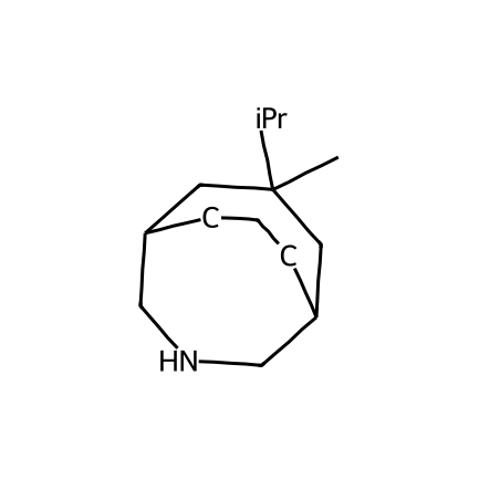 CC(C)C1(C)CC2CCCC(CNC2)C1